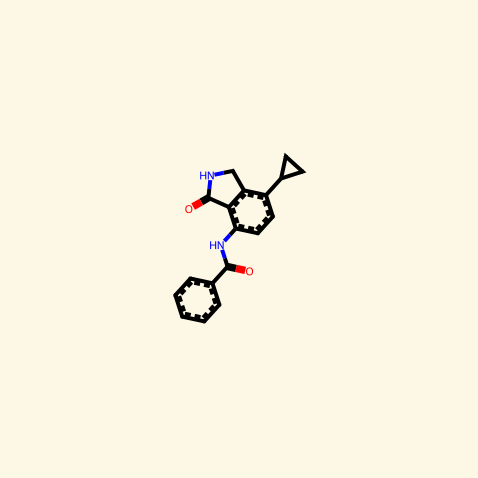 O=C(Nc1ccc(C2CC2)c2c1C(=O)NC2)c1ccccc1